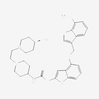 COc1cccc2c(COc3cccc4[nH]c(OC(=O)NC5CCN(C[C@H](C)N6CC[C@H](O)[C@@H](C)C6)CC5)cc34)coc12